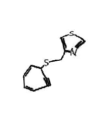 C1#CC(SCc2cscn2)C=CC=C1